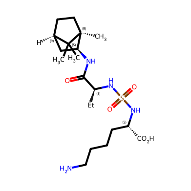 CC[C@H](NS(=O)(=O)N[C@@H](CCCCN)C(=O)O)C(=O)N[C@H]1C[C@H]2CC[C@]1(C)C2(C)C